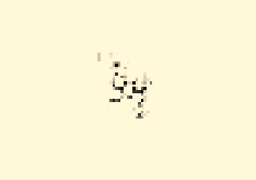 CCCc1c2c(c(O)c3c(=O)cc(OC(=O)O)oc13)CC(OC(=O)O)CC2